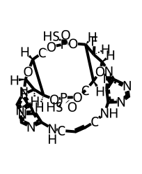 O=[P@]1(S)OC[C@H]2O[C@@H]3[C@H](F)[C@@H]2O[P@](=O)(S)OC[C@H]2O[C@H]([C@H](F)[C@@H]2O1)n1cnc2c(ncnc21)NC/C=C\CNc1ncnc2c1ncn23